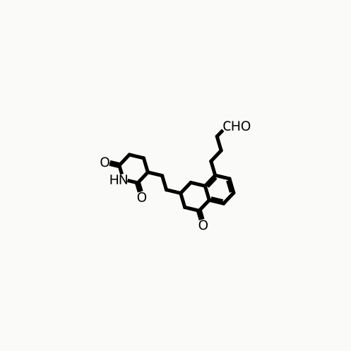 O=CCCCc1cccc2c1CC(CCC1CCC(=O)NC1=O)CC2=O